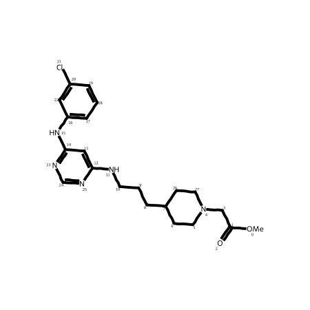 COC(=O)CN1CCC(CCCNc2cc(Nc3cccc(Cl)c3)ncn2)CC1